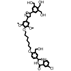 COc1cc(C2=NOC(c3cc(CO)c(CO)c(CO)c3)C2)cc(OC)c1OCCCCCCCOc1ccc(C2NC(=O)c3cc(Cl)ccc3N2)cc1CO